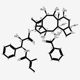 C/C=C(\C)C(=O)N[C@@H](c1ccccc1)[C@@H](O)C(=O)O[C@H]1C[C@@]2(O)[C@@H](OC(=O)c3ccccc3)[C@@H]3[C@]4(OC(C)=O)CO[C@@H]4C[C@H](O)[C@@]3(C)C(O)[C@H](OC(C)=O)C(=C1C)C2(C)C